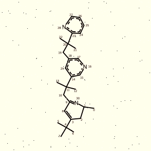 CC1CC(C(C)(C)C)=CC(CC(C)(C)c2cncc(CC(C)(C)c3ccccn3)c2)=N1